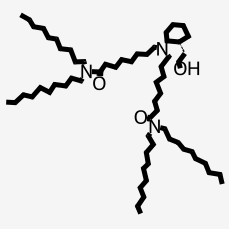 CCCCCCCCCCN(CCCCCCCCCC)C(=O)CCCCCCCN(CCCCCCCC(=O)N(CCCCCCCCCC)CCCCCCCCCC)[C@@H]1CCCC[C@@H]1CCO